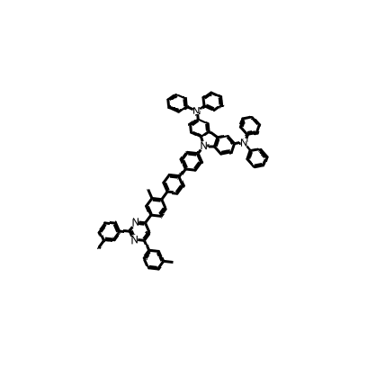 Cc1cccc(-c2cc(-c3ccc(-c4ccc(-c5ccc(-n6c7ccc(N(c8ccccc8)c8ccccc8)cc7c7cc(N(c8ccccc8)c8ccccc8)ccc76)cc5)cc4)c(C)c3)nc(-c3cccc(C)c3)n2)c1